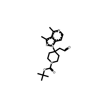 Cc1nccc2c1c(C)nn2C1(CC=O)CCN(C(=O)OC(C)(C)C)CC1